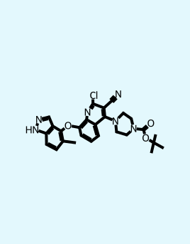 Cc1ccc2[nH]ncc2c1Oc1cccc2c(N3CCN(C(=O)OC(C)(C)C)CC3)c(C#N)c(Cl)nc12